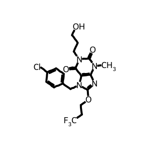 Cn1c(=O)n(CCCO)c(=O)c2c1nc(OCCC(F)(F)F)n2Cc1ccc(Cl)cc1